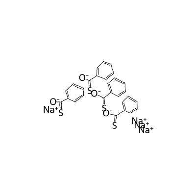 [Na+].[Na+].[Na+].[Na+].[O-]C(=S)c1ccccc1.[O-]C(=S)c1ccccc1.[O-]C(=S)c1ccccc1.[O-]C(=S)c1ccccc1